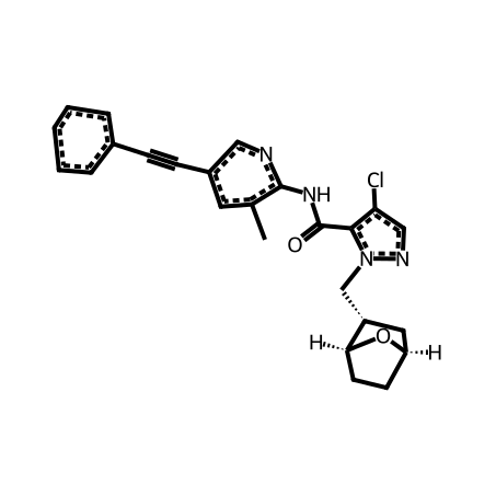 Cc1cc(C#Cc2ccccc2)cnc1NC(=O)c1c(Cl)cnn1C[C@@H]1C[C@H]2CC[C@@H]1O2